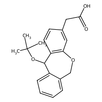 CC(C)(C)OC1c2ccccc2COc2cc(CC(=O)O)ccc21